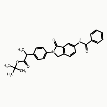 CC(C(=O)OC(C)(C)C)c1ccc(N2Cc3ccc(NC(=O)c4ccccc4)cc3C2=O)cc1